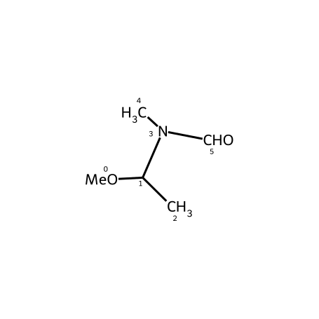 COC(C)N(C)C=O